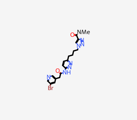 CNC(=O)c1cn(CCCCc2ccc(NC(=O)Cc3cncc(Br)c3)nn2)nn1